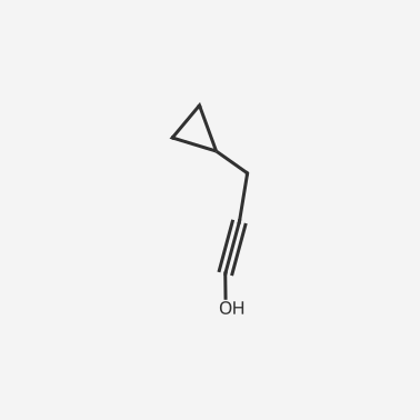 OC#CCC1CC1